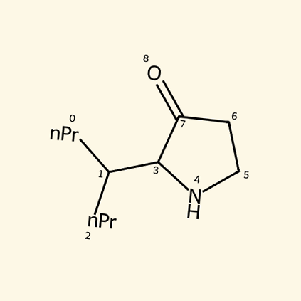 CCCC(CCC)C1NCCC1=O